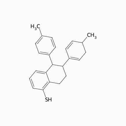 Cc1ccc(C2c3cccc(S)c3CCC2C2=CCC(C)C=C2)cc1